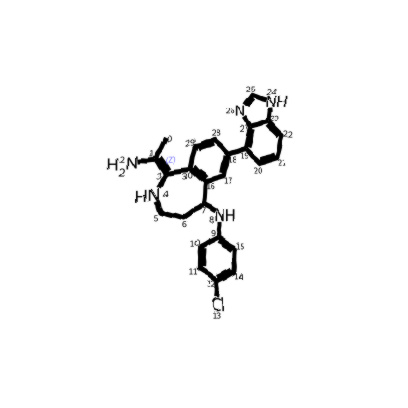 C/C(N)=C1/NCCC(Nc2ccc(Cl)cc2)c2cc(-c3cccc4[nH]cnc34)ccc21